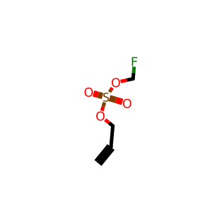 C#CCOS(=O)(=O)OCF